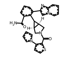 NC(=O)c1cccc(-c2cn3ccccc3n2)c1C1[C@H]2CN(C(=O)c3sccc3-n3cccc3)C[C@@H]12